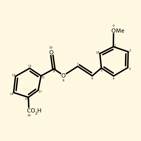 COc1cccc(C=COC(=O)c2cccc(C(=O)O)c2)c1